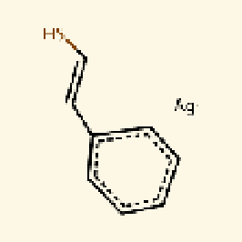 SC=Cc1ccccc1.[Ag]